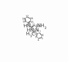 CC1(c2ccccc2)N=C(N)C=C(Nc2ccccc2)N1